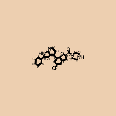 O=C([C@H]1Cc2cc(Cl)cc(-c3ccnc4[nH]c(-c5ccccc5)cc34)c2O1)N1CCNCC1